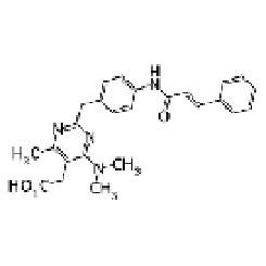 Cc1nc(Cc2ccc(NC(=O)/C=C/c3ccccc3)cc2)nc(N(C)C)c1CC(=O)O